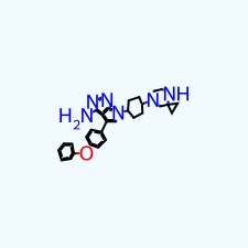 Nc1ncnc2c1c(-c1ccc(Oc3ccccc3)cc1)cn2C1CCC(N2CCNC3(CC3)C2)CC1